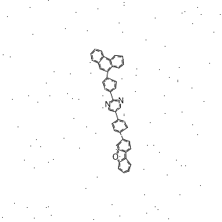 c1ccc2c(c1)cc(-c1ccc(-c3ncc(-c4ccc(-c5ccc6c(c5)oc5ccccc56)cc4)cn3)cc1)c1ccccc12